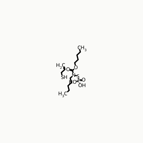 C=CCS.CCCCCOC(=O)N(CCCCC)SP(=O)(O)O